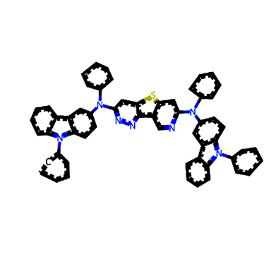 c1ccc(N(c2ccc3c(c2)c2ccccc2n3-c2ccccc2)c2cc3sc4cc(N(c5ccccc5)c5ccc6c(c5)c5ccccc5n6-c5ccccc5)nnc4c3cn2)cc1